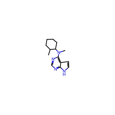 CC1CC[CH]CC1N(C)c1ncnc2[nH]ccc12